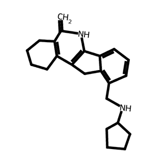 C=C1NC2=C(Cc3c(CNC4CCCC4)cccc32)C2=C1CCCC2